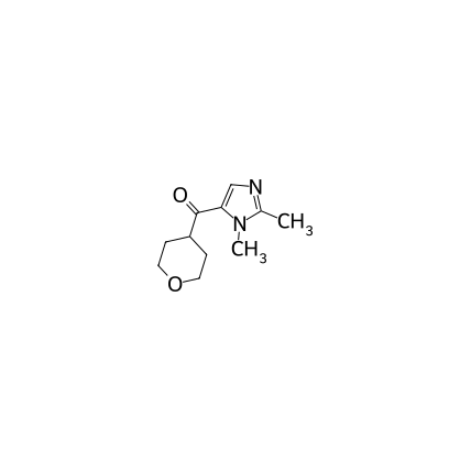 Cc1ncc(C(=O)C2CCOCC2)n1C